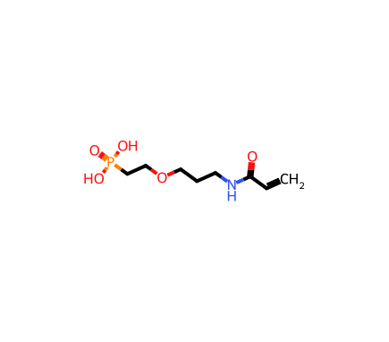 C=CC(=O)NCCCOCCP(=O)(O)O